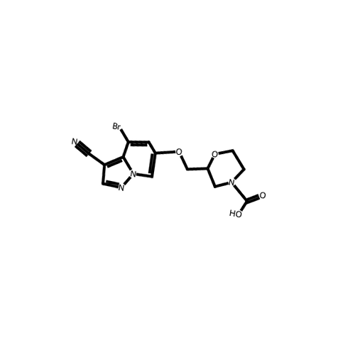 N#Cc1cnn2cc(OCC3CN(C(=O)O)CCO3)cc(Br)c12